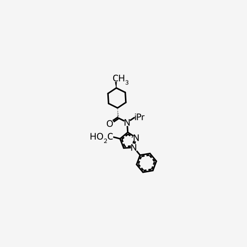 CC(C)N(c1nn(-c2ccccc2)cc1C(=O)O)C(=O)[C@H]1CC[C@H](C)CC1